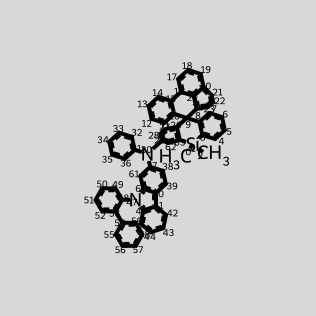 C[Si]1(C)c2ccccc2C2(c3ccccc3-c3cccc4cccc2c34)c2ccc(N(c3ccccc3)c3ccc4c5ccccc5n(-c5ccccc5-c5ccccc5)c4c3)cc21